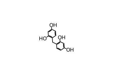 Oc1ccc(Cc2ccc(O)cc2O)c(O)c1